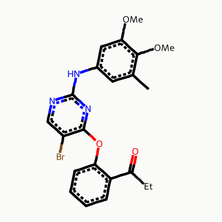 CCC(=O)c1ccccc1Oc1nc(Nc2cc(C)c(OC)c(OC)c2)ncc1Br